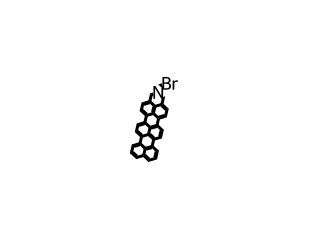 BrCN1Cc2ccc3c4ccc5c6cccc7cccc(c8ccc(c9ccc(c2c39)C1)c4c58)c76